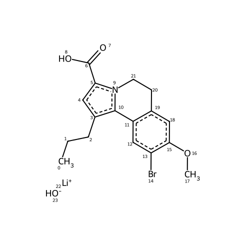 CCCc1cc(C(=O)O)n2c1-c1cc(Br)c(OC)cc1CC2.[Li+].[OH-]